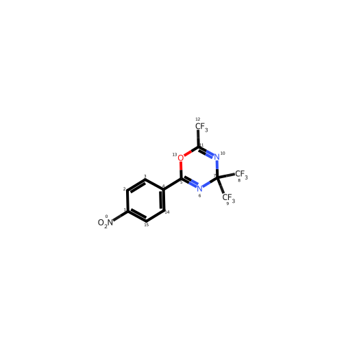 O=[N+]([O-])c1ccc(C2=NC(C(F)(F)F)(C(F)(F)F)N=C(C(F)(F)F)O2)cc1